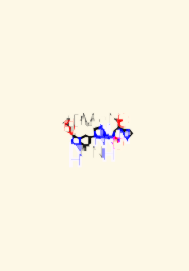 CNC(=O)c1cc(Nc2nccc(-c3cc(C#N)c4c(c3)[C@@](C)(CO[Si](C)(C)C(C)(C)C)CN4)n2)c(=O)n2c1CCC2